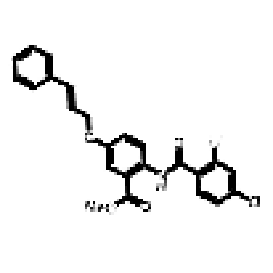 COC(=O)c1cc(OCC=Cc2ccccc2)ccc1NC(=O)c1ccc(Cl)cc1Cl